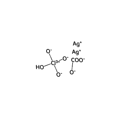 O=C([O-])[O-].[Ag+].[Ag+].[O-][Cl+3]([O-])([O-])O